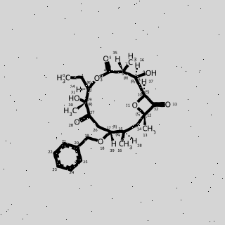 CC[C@H]1OC(=O)[C@H](C)[C@@H](O)[C@@H]2O[C@@](C)(C[C@@H](C)[C@H](OCc3ccccc3)CC(=O)[C@]1(C)O)C2=O